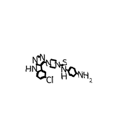 Nc1ccc(NC(=S)N2CCN(c3ncnc4[nH]c5ccc(Cl)cc5c34)CC2)cc1